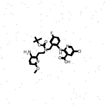 COc1ccc(N)c(CCN(Cc2cc(F)ccc2Nc2ncc(Cl)cc2C(=O)O)C(=O)OC(C)(C)C)n1